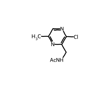 CC(=O)NCc1nc(C)cnc1Cl